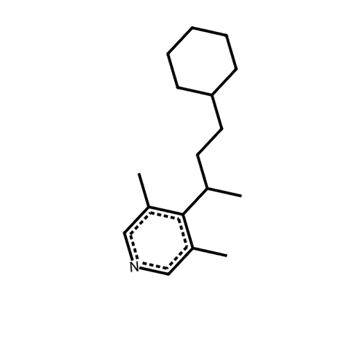 Cc1cncc(C)c1C(C)CCC1CCCCC1